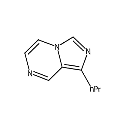 CCCc1ncn2ccncc12